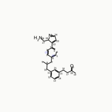 C=C(/C=C\C(=C/C)CC(C)Cc1cccc(CCC(C)=O)c1)C1=CC=NC1CN